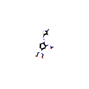 CCCC(=O)Nc1cc(N(CCO)CCO)ccc1/N=N/c1snc(C)c1C#N